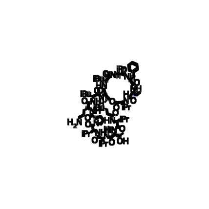 C/C=C1\NC(=O)[C@H](Cc2ccccc2)NC(=O)[C@@H](C(C)C)NC(=O)[C@@H]([C@@H](C)CC)NC(=O)[C@H](NC(=O)[C@H](NC(=O)[C@H](CCCN)NC(=O)[C@H]2CCCN2C(=O)C(NC(=O)C(NC(=O)[C@@H](NC(=O)C(NC(=O)CC[C@@H](C)CC)C(C)C)[C@@H](C)O)C(C)C)C(C)C)[C@@H](C)CC)[C@@H](C)OC(=O)C(C(C)C)NC1=O